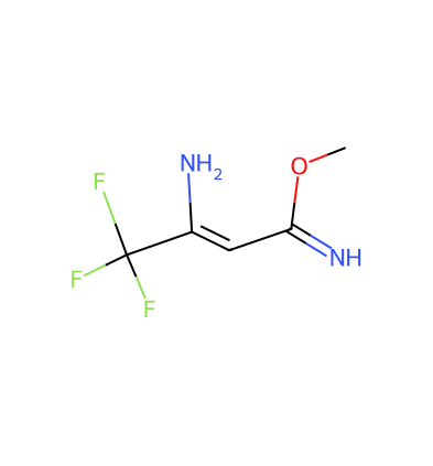 COC(=N)/C=C(\N)C(F)(F)F